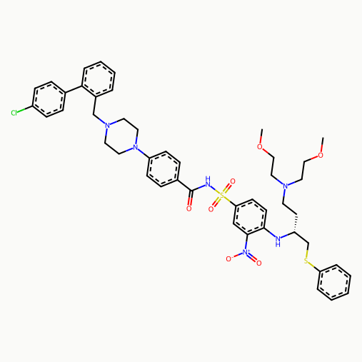 COCCN(CCOC)CC[C@H](CSc1ccccc1)Nc1ccc(S(=O)(=O)NC(=O)c2ccc(N3CCN(Cc4ccccc4-c4ccc(Cl)cc4)CC3)cc2)cc1[N+](=O)[O-]